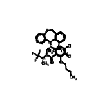 CCCCOc1c2n(cc(Cl)c1=O)N([C@@H]1c3ccccc3SCc3cccc(N(C)C)c31)CN([C@H](C)C(F)(F)F)C2=O